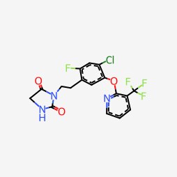 O=C1CNC(=O)N1CCc1cc(Oc2ncccc2C(F)(F)F)c(Cl)cc1F